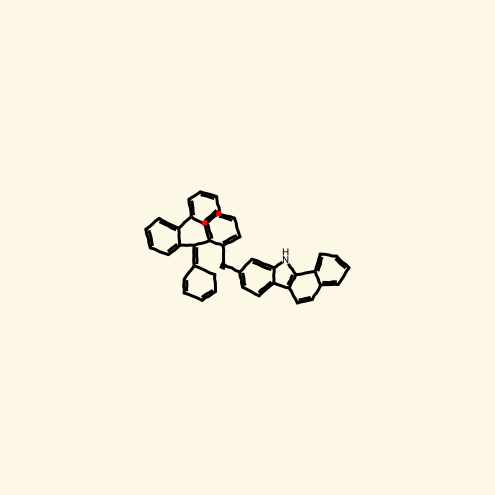 C=C(c1ccc2c(c1)[nH]c1c3ccccc3ccc21)c1ccccc1/C(=C1/C=CC=CC1)c1ccccc1-c1ccccc1